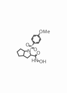 COc1ccc(S(=O)(=O)N2C(C(=O)NO)CC3CCCC32)cc1